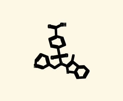 Cc1c(N(Cc2cccnc2)S(=O)(=O)c2ccc(C(=O)O)cc2)sc2ccccc12